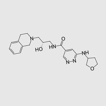 O=C(NC[C@H](O)CN1CCc2ccccc2C1)c1cnnc(NC2CCOC2)c1